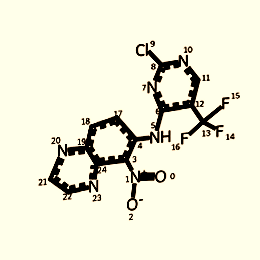 O=[N+]([O-])c1c(Nc2nc(Cl)ncc2C(F)(F)F)ccc2nccnc12